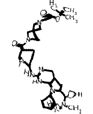 CN(C)[C@H](O)C1CC2CN=C(NC3CCC(C(=O)N4CC5(CN(C(=O)OC(C)(C)C)C5)C4)C=N3)NC2N1C1CCCC1